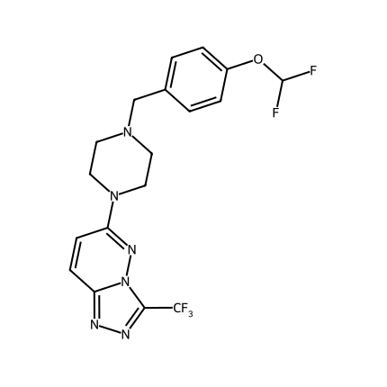 FC(F)Oc1ccc(CN2CCN(c3ccc4nnc(C(F)(F)F)n4n3)CC2)cc1